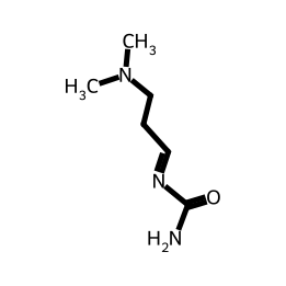 CN(C)CCC=NC(N)=O